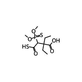 CCC(CC)(C(=O)O)C(C(=O)S)P(=S)(OC)OC